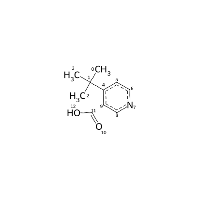 CC(C)(C)c1ccncc1.O=CO